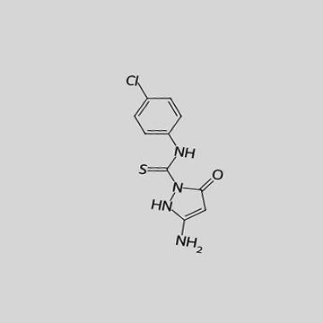 Nc1cc(=O)n(C(=S)Nc2ccc(Cl)cc2)[nH]1